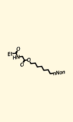 CCCCCCCCCCCCCCCCOC(=O)CNC(=O)CC